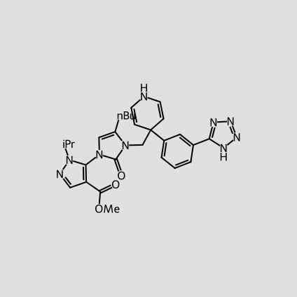 CCCCc1cn(-c2c(C(=O)OC)cnn2C(C)C)c(=O)n1CC1(c2cccc(-c3nnn[nH]3)c2)C=CNC=C1